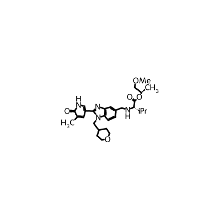 COC[C@@H](C)OC(=O)[C@@H](NCc1ccc2c(c1)nc(-c1c[nH]c(=O)c(C)c1)n2CC1CCOCC1)C(C)C